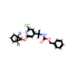 CC(C)(NC(=O)OCc1ccccc1)c1cc(Cl)nc(O[C@H]2[C@@H]3CCC[C@@H]32)c1